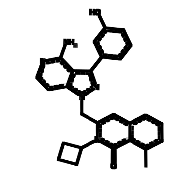 Cc1cccc2cc(Cn3nc(-c4cccc(O)c4)c4c(N)nccc43)n(C3CCC3)c(=O)c12